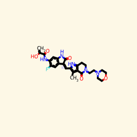 C=C(O)C(=O)Nc1cc2c(cc1F)/C(=C/c1[nH]c3c(c1C)C(=O)N(CCN1CCOCC1)CC3)C(=O)N2